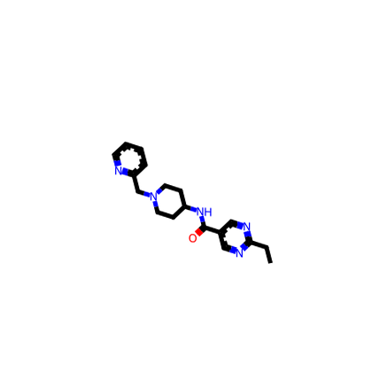 CCc1ncc(C(=O)NC2CCN(Cc3ccccn3)CC2)cn1